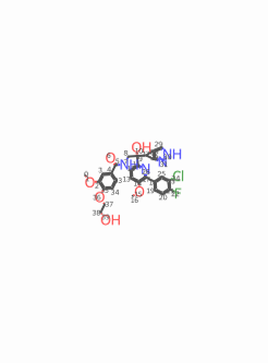 COc1cc(C(=O)NCC(O)(c2ccc(OC)c(-c3ccc(F)c(Cl)c3)n2)C2c3c[nH]nc32)ccc1OCCO